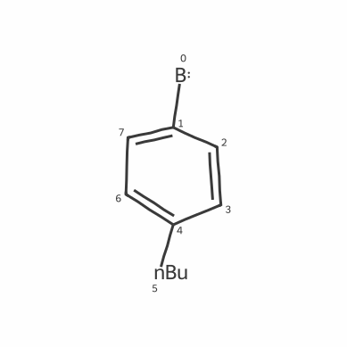 [B]c1ccc(CCCC)cc1